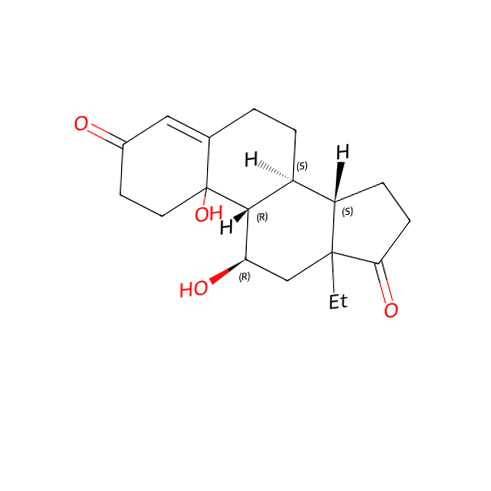 CCC12C[C@@H](O)[C@H]3[C@@H](CCC4=CC(=O)CCC43O)[C@@H]1CCC2=O